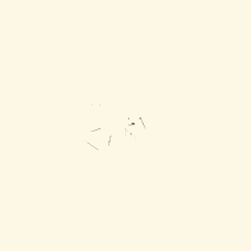 CC(C(O)c1ccccc1)[n+]1cc([O-])on1